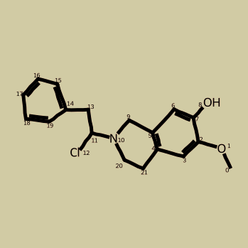 COc1cc2c(cc1O)CN(C(Cl)Cc1ccccc1)CC2